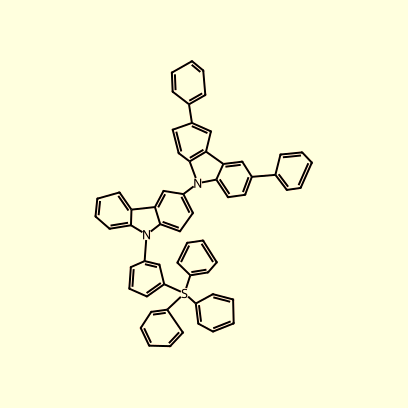 c1ccc(-c2ccc3c(c2)c2cc(-c4ccccc4)ccc2n3-c2ccc3c(c2)c2ccccc2n3-c2cccc(S(c3ccccc3)(c3ccccc3)c3ccccc3)c2)cc1